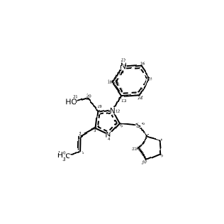 C/C=C/c1nc(SC2CCCC2)n(-c2cccnc2)c1CO